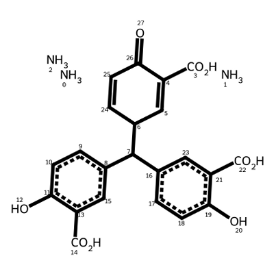 N.N.N.O=C(O)C1=CC(C(c2ccc(O)c(C(=O)O)c2)c2ccc(O)c(C(=O)O)c2)C=CC1=O